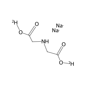 [2H]OC(=O)CNCC(=O)O[2H].[Na].[Na]